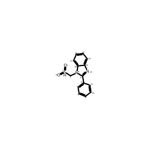 O=[SH](=O)Cn1c(-c2ccccc2)nc2ccccc21